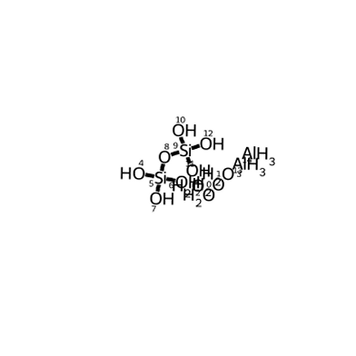 O.O.O.O.O[Si](O)(O)O[Si](O)(O)O.[AlH3].[AlH3]